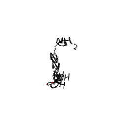 NC(=O)CCCCCCCN1CCC(N2CC3(CC(N4CCN5c6cc(-c7ccccc7O)nnc6NC[C@H]5C4)C3)C2)CC1